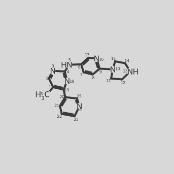 Cc1cnc(Nc2ccc(N3CCNCC3)nc2)nc1-c1cccnc1